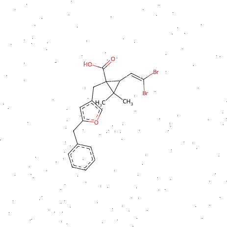 CC1(C)C(C=C(Br)Br)C1(Cc1coc(Cc2ccccc2)c1)C(=O)O